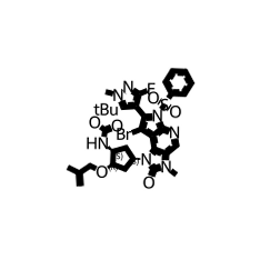 C=C(C)CO[C@@H]1C[C@@H](n2c(=O)n(C)c3cnc4c(c(Br)c(-c5cn(C)nc5F)n4S(=O)(=O)c4ccccc4)c32)C[C@@H]1NC(=O)OC(C)(C)C